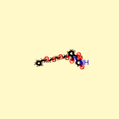 O=C1CCC(N2C(=O)c3cccc(OCCOCCOCCOCCC4CCCC4)c3C2=O)C(=O)N1